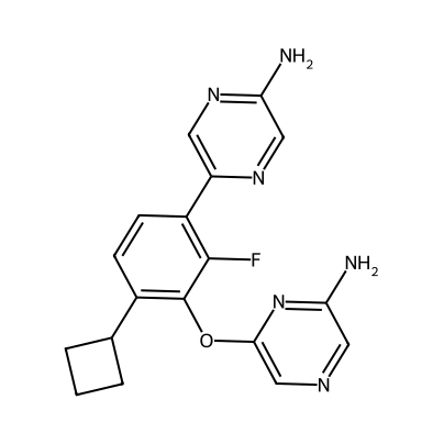 Nc1cnc(-c2ccc(C3CCC3)c(Oc3cncc(N)n3)c2F)cn1